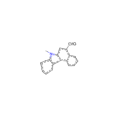 Cn1c2ccccc2c2c3ccccc3c(C=O)cc21